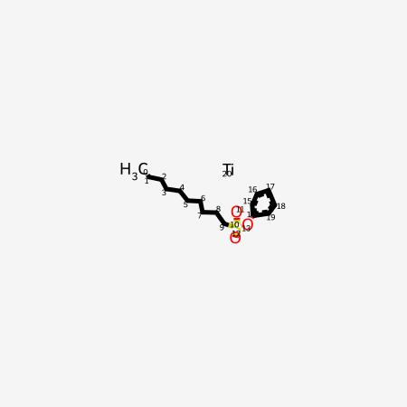 CCCCCCCCCCS(=O)(=O)Oc1ccccc1.[Ti]